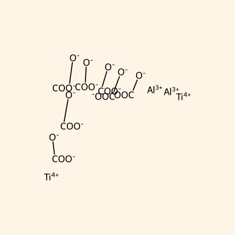 O=C([O-])[O-].O=C([O-])[O-].O=C([O-])[O-].O=C([O-])[O-].O=C([O-])[O-].O=C([O-])[O-].O=C([O-])[O-].[Al+3].[Al+3].[Ti+4].[Ti+4]